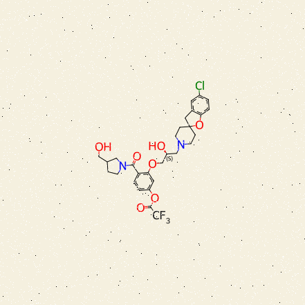 O=C(c1ccc(OC(=O)C(F)(F)F)cc1OC[C@@H](O)CN1CCC2(CC1)Cc1cc(Cl)ccc1O2)N1CCC(CO)C1